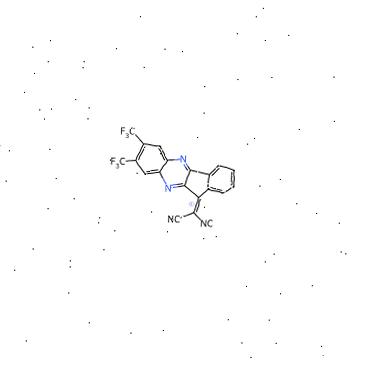 [C-]#[N+]/C(C#N)=C1\c2ccccc2-c2nc3cc(C(F)(F)F)c(C(F)(F)F)cc3nc21